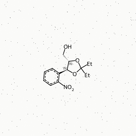 CCC1(CC)O[C@@H](CO)[C@H](c2ccccc2[N+](=O)[O-])O1